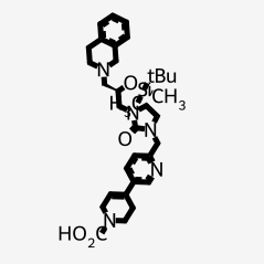 CC(C)(C)[Si](C)(C)O[C@H](CN1CCc2ccccc2C1)CN1CCN(Cc2ccc(C3=CCN(C(=O)O)CC3)cn2)C1=O